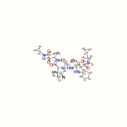 CCC[C@H](NC(=O)[C@@H]1[C@@H]2[C@H](CN1C(=O)[C@@H](NC(=O)NC1(CS(=O)(=O)N(C)C(C)(C)C3CC3)CCCCC1)C(C)(C)C)C2(C)C)C(=O)C(=O)NC1CC1